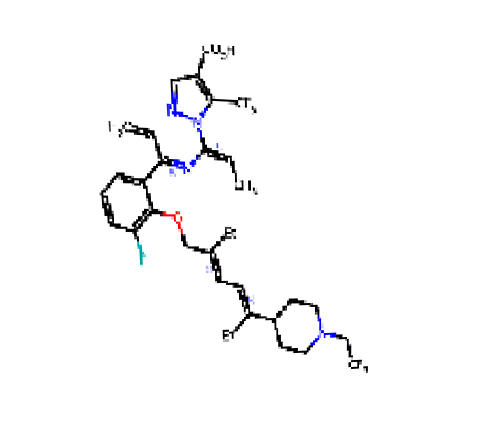 C=C/C(=N\C(=C/C)n1ncc(C(=O)O)c1C(F)(F)F)c1cccc(F)c1OC/C(=C/C=C(\CC)C1CCN(CC(F)(F)F)CC1)CC